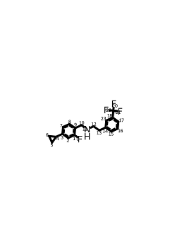 Fc1cc(C2CC2)ccc1CNCCc1cccc(C(F)(F)F)c1